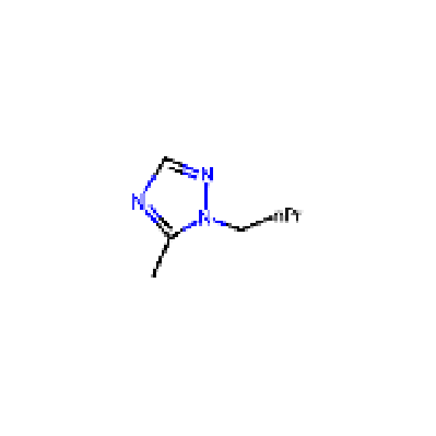 CCCCn1ncnc1C